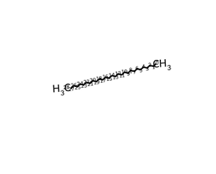 CCCCCCCC[CH]CCCCCCCCCCCCCCCCCCCC